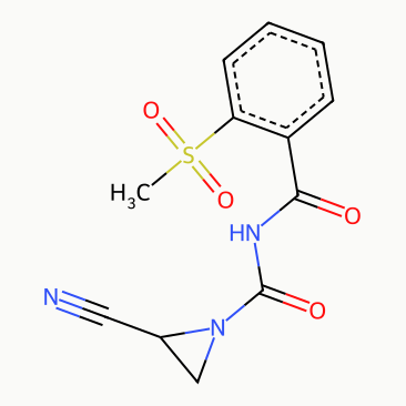 CS(=O)(=O)c1ccccc1C(=O)NC(=O)N1CC1C#N